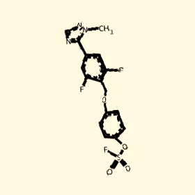 Cn1ncnc1-c1cc(F)c(COc2ccc(OS(=O)(=O)F)cc2)c(F)c1